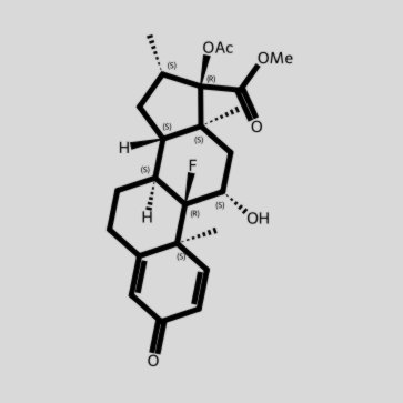 COC(=O)[C@@]1(OC(C)=O)[C@@H](C)C[C@H]2[C@@H]3CCC4=CC(=O)C=C[C@]4(C)[C@@]3(F)[C@@H](O)C[C@@]21C